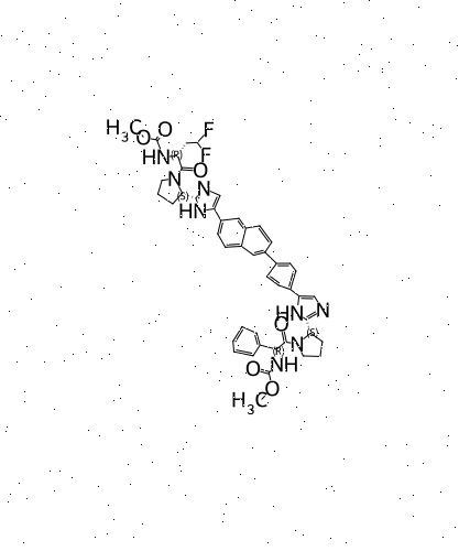 COC(=O)N[C@H](CC(F)F)C(=O)N1CCC[C@H]1c1ncc(-c2ccc3cc(-c4ccc(-c5cnc([C@@H]6CCCN6C(=O)[C@H](NC(=O)OC)c6ccccc6)[nH]5)cc4)ccc3c2)[nH]1